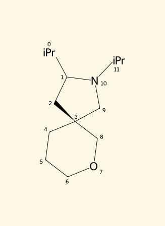 CC(C)C1C[C@@]2(CCCOC2)CN1C(C)C